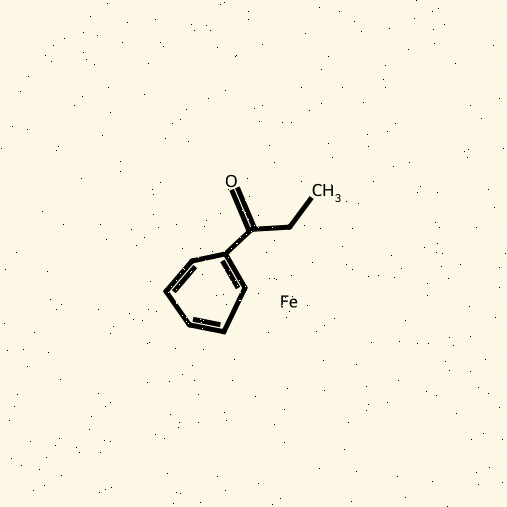 CCC(=O)c1ccccc1.[Fe]